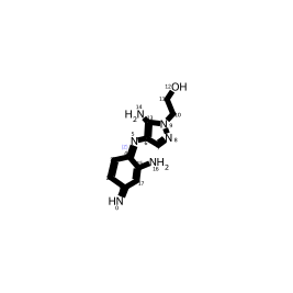 N=C1C=C/C(=N/c2cnn(CCO)c2N)C(N)=C1